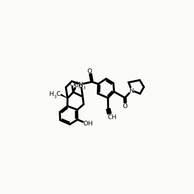 C#Cc1cc(C(=O)N2CC[C@@]3(C)c4cccc(O)c4CC2C3(C)C)ccc1C(=O)N1CCCC1